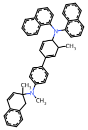 CC1C=C(c2ccc(N(C)C3(C)C=Cc4ccccc4C3)cc2)C=CC1N(c1cccc2ccccc12)c1cccc2ccccc12